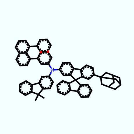 CC1(C)c2ccccc2-c2cc(N(c3cccc(-c4cccc5cccc(-c6ccccc6)c45)c3)c3ccc4c(c3)C3(c5ccccc5-c5ccccc53)c3cc(C56CC7CC(CC(C7)C5)C6)ccc3-4)ccc21